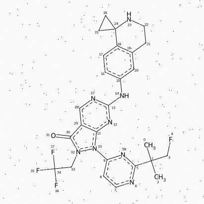 CC(C)(CF)c1nccc(-n2c3nc(Nc4ccc5c(c4)CCNC54CC4)ncc3c(=O)n2CC(F)(F)F)n1